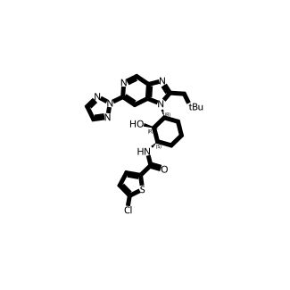 CC(C)(C)Cc1nc2cnc(-n3nccn3)cc2n1[C@@H]1CCC[C@H](NC(=O)c2ccc(Cl)s2)[C@H]1O